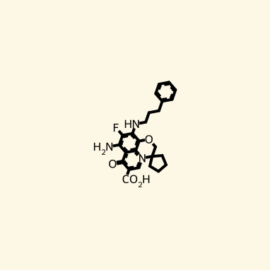 Nc1c(F)c(NCCCc2ccccc2)c2c3c1c(=O)c(C(=O)O)cn3C1(CCCC1)CO2